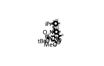 C=C(C(=O)N1CCN(C(=O)OC(C)(C)C)CC1C(=O)OC)c1ccc(Sc2ccccc2C(C)C)c([N+](=O)[O-])c1